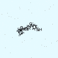 N=Cc1ccc([S+]([O-])N2CCC(CNC(=O)C34CC5CC(CC(C5)C3)C4)C2)cc1